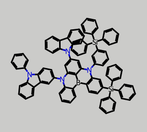 c1ccc(-n2c3ccccc3c3cc(N4c5ccccc5B5c6ccc([Si](c7ccccc7)(c7ccccc7)c7ccccc7)cc6N(c6cccc([Si](c7ccccc7)(c7ccccc7)c7ccccc7)c6)c6cc(-n7c8ccccc8c8ccccc87)cc4c65)ccc32)cc1